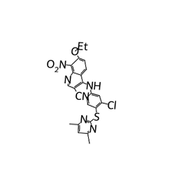 CCOc1ccc2c(Nc3ccc(Sc4nc(C)cc(C)n4)c(Cl)c3)c(C#N)cnc2c1[N+](=O)[O-]